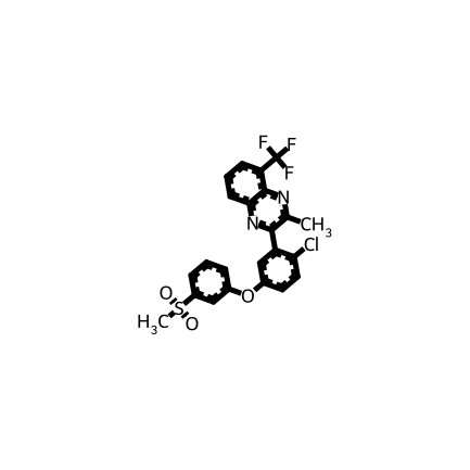 Cc1nc2c(C(F)(F)F)cccc2nc1-c1cc(Oc2cccc(S(C)(=O)=O)c2)ccc1Cl